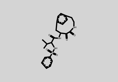 CC(C)C(NS(=O)(=O)c1ccccc1)C(=O)NC1Cc2ccc(cc2)CCNC(=O)C1=O